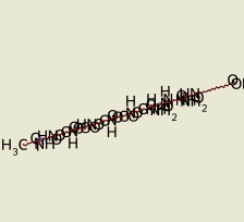 CCCCCCC(=O)[C@H](/C=C/CCCCNC(=O)COCCOCCNC(=O)COCCOCCNC(=O)COCCOCCNC(=O)COCCOCCNC(=O)COCCOCCNC(=O)C(N)CCCCNC(=O)[C@@H](N)CCCCNC(=O)[C@@H](N)CCCCNC(=O)CCCCCCCCCCCCCCCCC(=O)O)NI